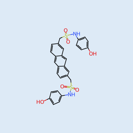 O=S(=O)(Cc1ccc2cc3ccc(CS(=O)(=O)Nc4ccc(O)cc4)cc3cc2c1)Nc1ccc(O)cc1